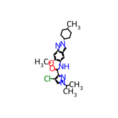 COc1cc2nn([C@H]3CC[C@H](C)CC3)cc2cc1NC(=O)c1nn(C(C)C)cc1Cl